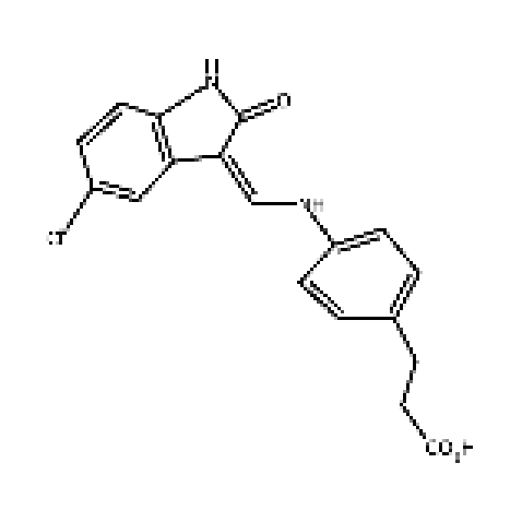 O=C(O)CCc1ccc(N/C=C2\C(=O)Nc3ccc(Cl)cc32)cc1